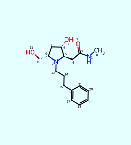 CNC(=O)C[C@@H]1[C@@H](O)C[C@@H](CO)N1CCCc1ccccc1